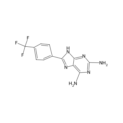 Nc1nc(N)c2nc(-c3ccc(C(F)(F)F)cc3)[nH]c2n1